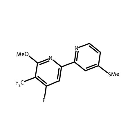 COc1nc(-c2cc(SC)ccn2)cc(F)c1C(F)(F)F